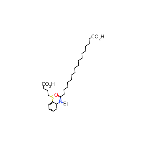 CCN(C(=O)CCCCCCCCCCCCCCCCC(=O)O)c1ccccc1SCCCC(=O)O